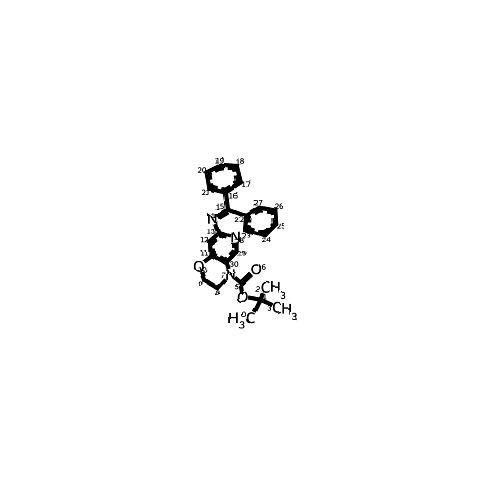 CC(C)(C)OC(=O)N1CCOc2cc(N=C(c3ccccc3)c3ccccc3)ncc21